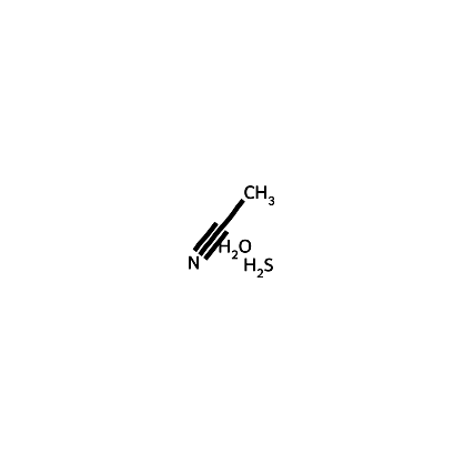 CC#N.O.S